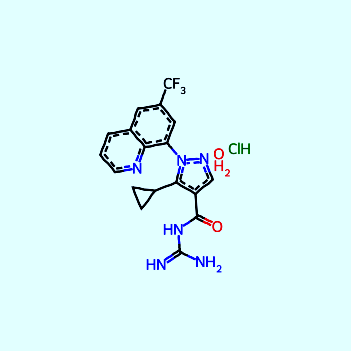 Cl.N=C(N)NC(=O)c1cnn(-c2cc(C(F)(F)F)cc3cccnc23)c1C1CC1.O